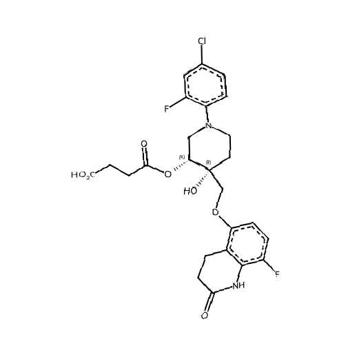 O=C(O)CCC(=O)O[C@@H]1CN(c2ccc(Cl)cc2F)CC[C@@]1(O)COc1ccc(F)c2c1CCC(=O)N2